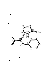 C=C(C)C(=O)OC1CCCCC1.O=C1CCCN1